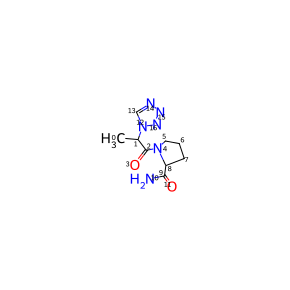 CC(C(=O)N1CCCC1C(N)=O)n1cnnn1